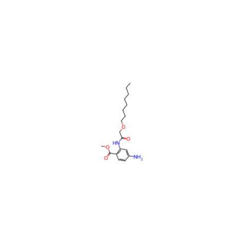 CCCCCCCCOCC(=O)Nc1cc(N)ccc1C(=O)OC